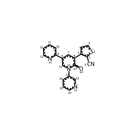 N#Cc1sccc1-c1cc(-c2ccccn2)cn(-c2cccnc2)c1=O